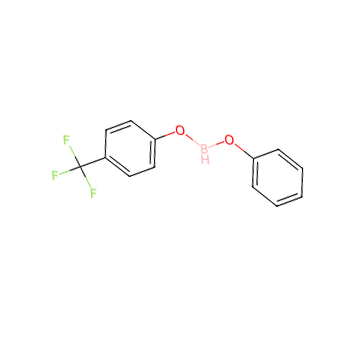 FC(F)(F)c1ccc(OBOc2ccccc2)cc1